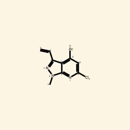 C=Cc1nn(C)c2nc(Cl)cc(C(C)=O)c12